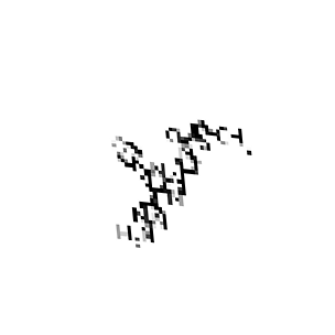 Cc1ccc(C(=O)N2CCC(n3cnc4c(-c5cnc(N)nc5)nc(N5CCOCC5)nc43)C2)s1